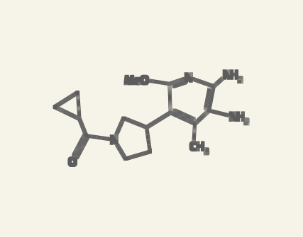 COc1nc(N)c(N)c(C)c1C1CCN(C(=O)C2CC2)C1